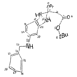 CCCC1(CC(=O)OC(C)(C)C)Nc2ccc(NCc3ccccc3)cc2N1